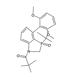 COc1cccc(OC)c1-c1cccc2c1P(=O)(C(C)(C)C)CN2C(=O)C(C)(C)C